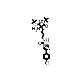 CC(C)(C)OC(=O)C(N)(CCCCNC(=O)n1cc(-c2ccc(Cl)cc2)nn1)C(=O)OC(C)(C)C